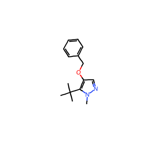 Cn1ncc(OCc2ccccc2)c1C(C)(C)C